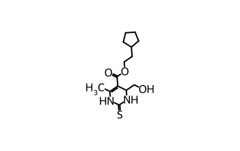 CC1=C(C(=O)OCCC2CCCC2)C(CO)NC(=S)N1